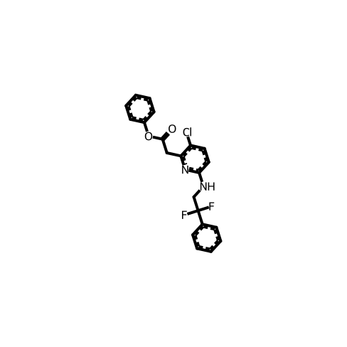 O=C(Cc1nc(NCC(F)(F)c2ccccc2)ccc1Cl)Oc1ccccc1